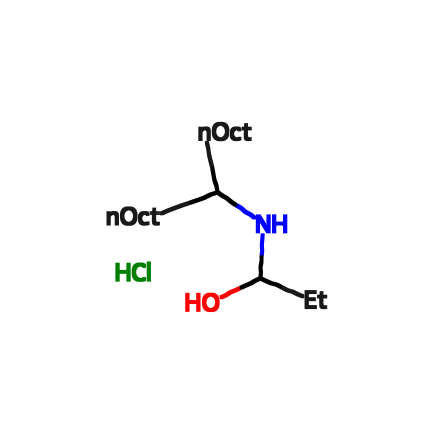 CCCCCCCCC(CCCCCCCC)NC(O)CC.Cl